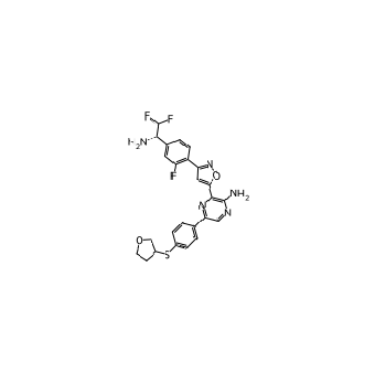 Nc1ncc(-c2ccc(SC3CCOC3)cc2)nc1-c1cc(-c2ccc(C(N)C(F)F)cc2F)no1